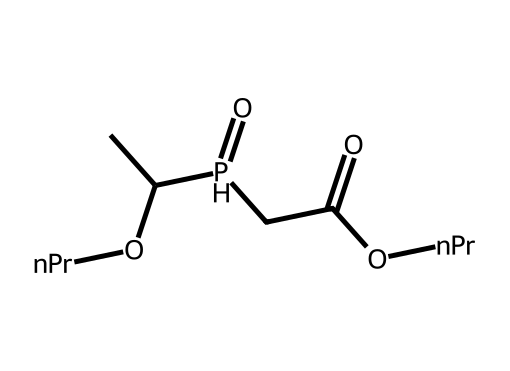 CCCOC(=O)C[PH](=O)C(C)OCCC